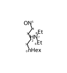 CCCCCCCCCCN=O.CCNCC